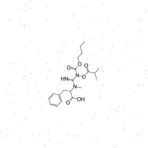 CCCCOC(=O)N(OC(=O)C(C)C)C(=N)N(C)C(Cc1ccccc1)C(=O)O